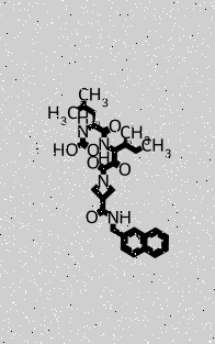 CC[C@H](C)C(NC(=O)[C@H](CC(C)C)NC(=O)O)C(=O)C(=O)N1CC(C(=O)NCc2ccc3ccccc3c2)C1